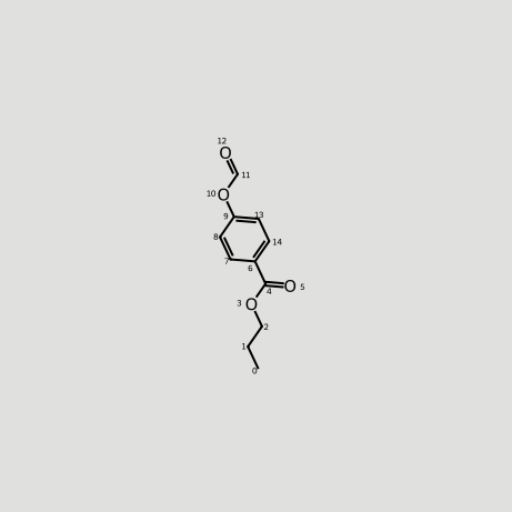 CCCOC(=O)c1ccc(OC=O)cc1